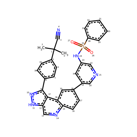 CC(C)(C#N)c1ccc(-c2n[nH]c3cnc4ccc(-c5cncc(NS(=O)(=O)c6ccccc6)c5)cc4c23)cc1